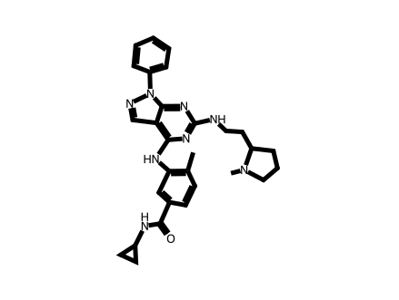 Cc1ccc(C(=O)NC2CC2)cc1Nc1nc(NCCC2CCCN2C)nc2c1cnn2-c1ccccc1